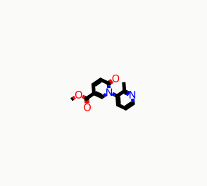 COC(=O)c1ccc(=O)n(-c2cccnc2C)c1